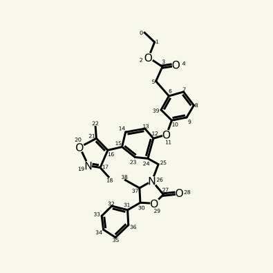 CCOC(=O)Cc1cccc(Oc2ccc(-c3c(C)noc3C)cc2CN2C(=O)OC(c3ccccc3)C2C)c1